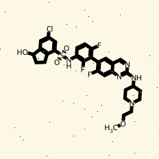 COCCN1CCC(Nc2ncc3cc(-c4c(F)ccc(NS(=O)(=O)c5cc(Cl)cc6c5CCC6O)c4F)c(F)cc3n2)CC1